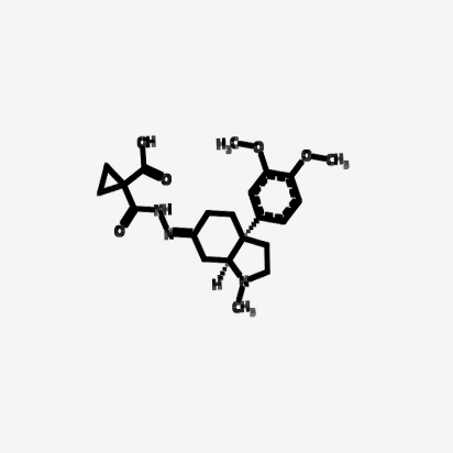 COc1ccc([C@@]23CCC(=NNC(=O)C4(C(=O)O)CC4)C[C@@H]2N(C)CC3)cc1OC